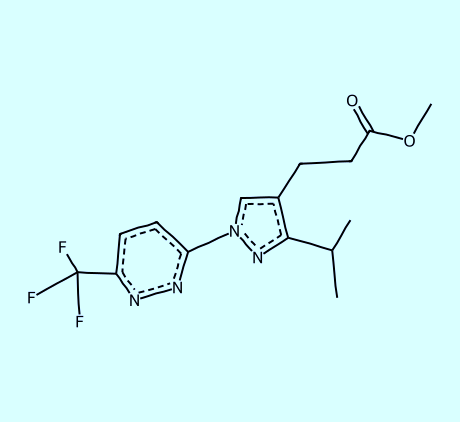 COC(=O)CCc1cn(-c2ccc(C(F)(F)F)nn2)nc1C(C)C